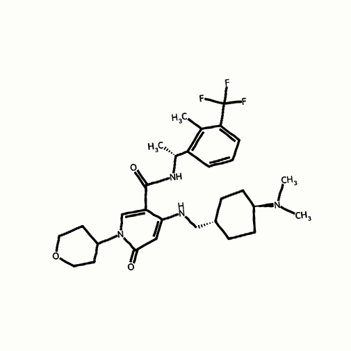 Cc1c([C@@H](C)NC(=O)c2cn(C3CCOCC3)c(=O)cc2NC[C@H]2CC[C@H](N(C)C)CC2)cccc1C(F)(F)F